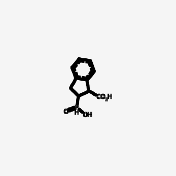 O=C(O)C1c2ccccc2CC1[PH](=O)O